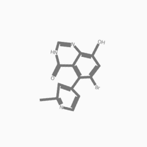 Cc1cc(-c2c(Br)cc(O)c3nc[nH]c(=O)c23)ccn1